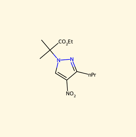 CCCc1nn(C(C)(C)C(=O)OCC)cc1[N+](=O)[O-]